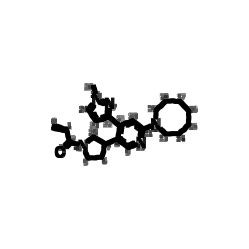 C=CC(=O)N1CCC(c2cnc(N3CCCCCCC3)cc2-c2ccn(C)n2)C1